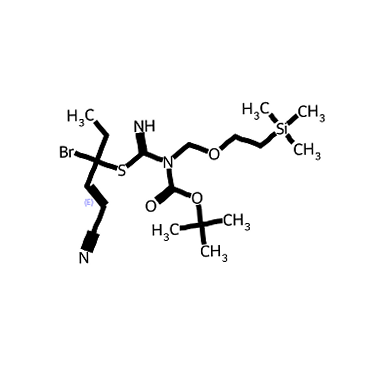 CCC(Br)(/C=C/C#N)SC(=N)N(COCC[Si](C)(C)C)C(=O)OC(C)(C)C